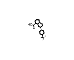 O=C(O)c1ccnc2ccc(-c3ccc(C(F)(F)F)cc3)cc12